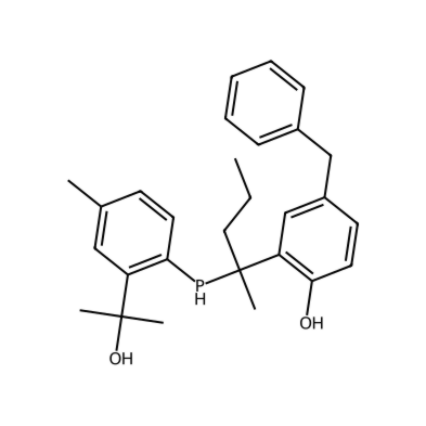 CCCC(C)(Pc1ccc(C)cc1C(C)(C)O)c1cc(Cc2ccccc2)ccc1O